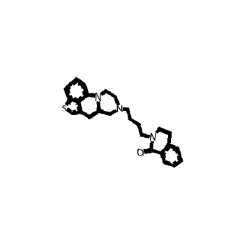 O=C1c2ccccc2CCN1CCCCN1CCN2c3cccc4scc(c34)CC2C1